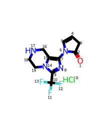 Cl.O=C1CC=CN1c1nc(C(F)(F)F)n2c1CNCC2